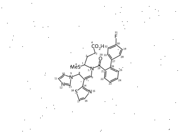 CSC(CCC(=O)O)N(C=C(Cn1ccnc1)c1nccs1)C(=O)c1ccccc1-c1ccc(F)cc1